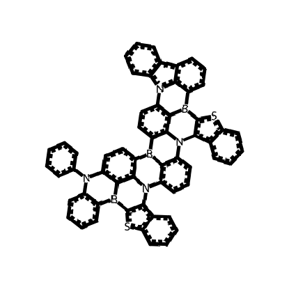 c1ccc(N2c3ccccc3B3c4sc5ccccc5c4N4c5cccc6c5B(c5ccc2c3c54)c2ccc3c4c2N6c2c(sc5ccccc25)B4c2cccc4c5ccccc5n-3c24)cc1